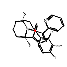 O=C(c1ccc(F)c(Cl)c1Cl)N1[C@H]2CCC[C@@H]1c1nnc(-c3ccccn3)n1C2